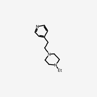 CCN1CCN(CCc2ccncc2)CC1